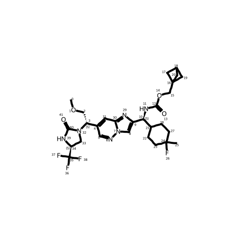 COC[C@H](c1cnn2cc([C@@H](NC(=O)OCC34CC(C3)C4)C3CCC(C)(F)CC3)nc2c1)N1C[C@@H](C(F)(F)F)NC1=O